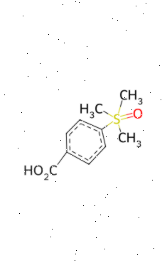 CS(C)(C)(=O)c1ccc(C(=O)O)cc1